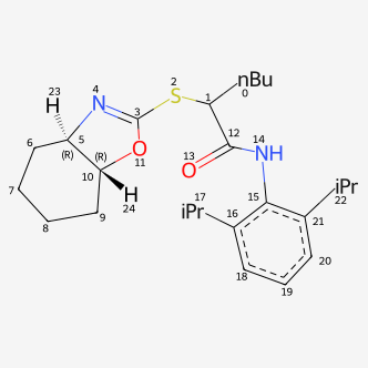 CCCCC(SC1=N[C@@H]2CCCC[C@H]2O1)C(=O)Nc1c(C(C)C)cccc1C(C)C